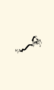 NCCCCC[SiH]1CCO[SiH2][SiH2]1